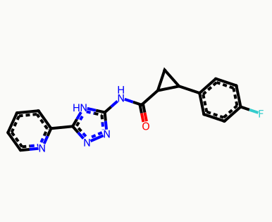 O=C(Nc1nnc(-c2ccccn2)[nH]1)C1CC1c1ccc(F)cc1